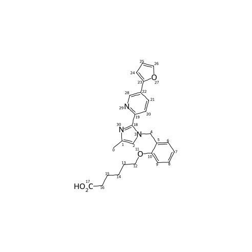 Cc1cn(Cc2ccccc2OCCCCCC(=O)O)c(-c2ccc(-c3ccco3)cn2)n1